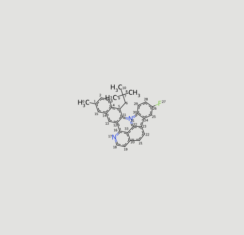 Cc1ccc2c(CC(C)(C)C)c3c(cc2c1)c1nccc2ccc4c5cc(F)ccc5n3c4c21